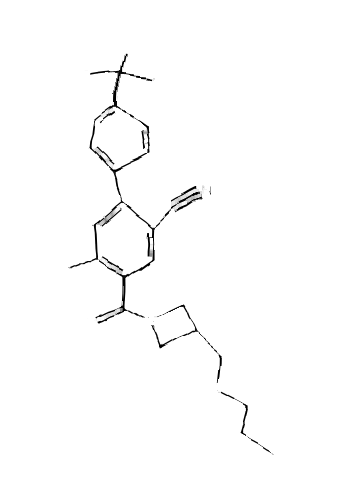 CCCSCC1CN(C(=O)c2cc(C#N)c(-c3ccc(C(F)(F)F)cc3)cc2C)C1